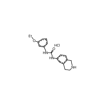 CCOc1cccc(NC(=O)Nc2ccc3c(c2)CCNC3)c1.Cl